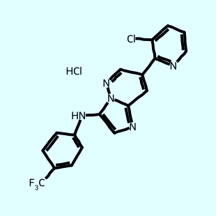 Cl.FC(F)(F)c1ccc(Nc2cnc3cc(-c4ncccc4Cl)cnn23)cc1